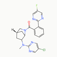 CN(c1ncc(Cl)cn1)C1C[C@H]2CC1N(C(=O)c1ccccc1-c1ncc(F)cn1)C2